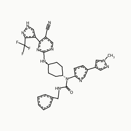 Cn1cc(-c2ccc(N(C(=O)NCc3ccccc3)[C@H]3CC[C@H](Nc4ncc(C#N)c(-c5c[nH]nc5C(F)(F)F)n4)CC3)nc2)cn1